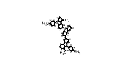 CCc1cccc2c3cc(-c4ccc5c(c4)c4cccnc4n5-c4ccc5c(c4)c4c(n5-c5ccc(C)cc5)C=CC4C)ccc3n(-c3ccc(C)cc3)c12